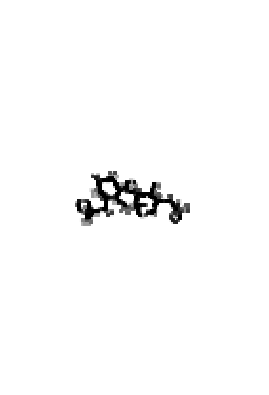 Cc1c(CC2CO2)cccc1Oc1cccc(CC2CO2)c1C